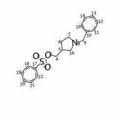 O=S(=O)(OCC1CCN(Cc2ccccc2)C1)c1ccccc1